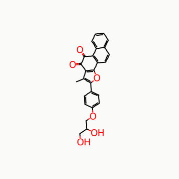 Cc1c(-c2ccc(OCC(O)CO)cc2)oc2c1C(=O)C(=O)c1c-2ccc2ccccc12